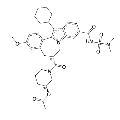 COc1ccc2c(c1)C[C@@H](C(=O)N1CCC[C@H](OC(C)=O)C1)Cn1c-2c(C2CCCCC2)c2ccc(C(=O)NS(=O)(=O)N(C)C)cc21